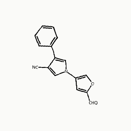 N#Cc1cn(-c2coc(C=O)c2)cc1-c1ccccc1